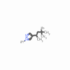 CC(CC(C)(C)C(C)C)c1cnn(C(C)C)c1